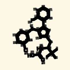 CC(C)(C)C(Cc1cc(-c2cccnc2F)c(Sc2ccnc(Cl)c2)s1)NC(=O)O